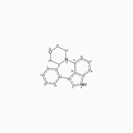 c1ccc(-c2c[nH]c3cccc(N4CCOCC4)c23)cc1